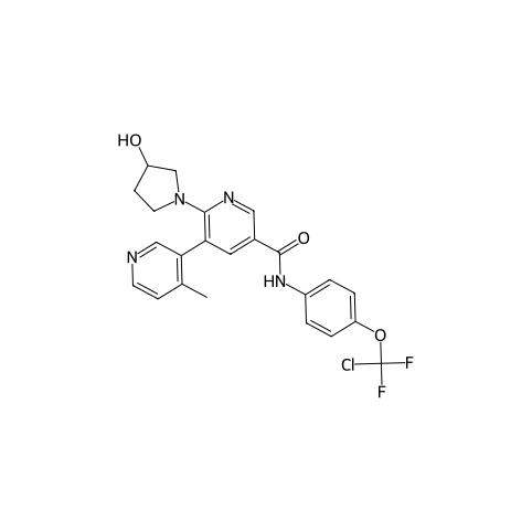 Cc1ccncc1-c1cc(C(=O)Nc2ccc(OC(F)(F)Cl)cc2)cnc1N1CCC(O)C1